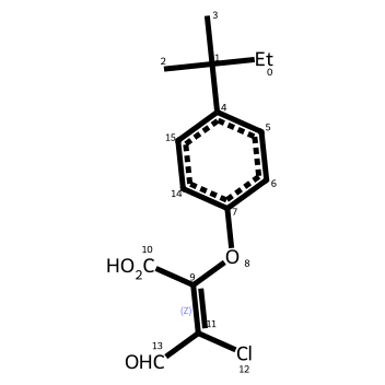 CCC(C)(C)c1ccc(O/C(C(=O)O)=C(\Cl)C=O)cc1